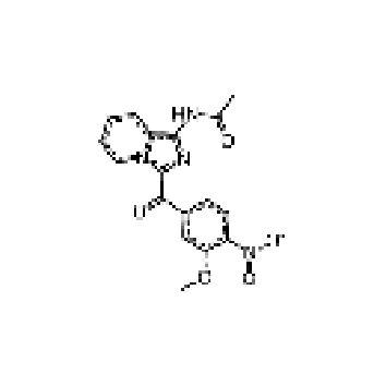 COc1cc(C(=O)c2nc(NC(C)=O)c3ccccn23)ccc1[N+](=O)[O-]